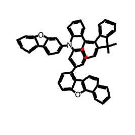 CC1(C)c2ccccc2-c2c(-c3ccccc3N(c3cccc(-c4cccc5oc6c7ccccc7ccc6c45)c3)c3ccc4c(c3)oc3ccccc34)cccc21